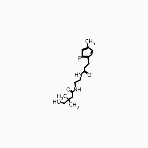 Cc1ccc(CCC(=O)NCCNC(=O)CC(C)(C)CO)c(F)c1